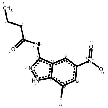 CCCC(=O)Nc1n[nH]c2c(F)cc([N+](=O)[O-])cc12